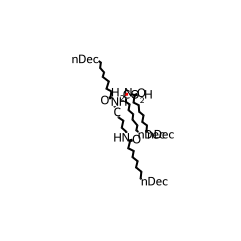 CCCCCCCCCCCCCCCCCC(=O)NCCCCCCNC(=O)CCCCCCCCCCCCCCCCC.CCCCCCCCCCCCCCCCCC(=O)O.CCCCCCCCCCCCCCCCCC(N)=O